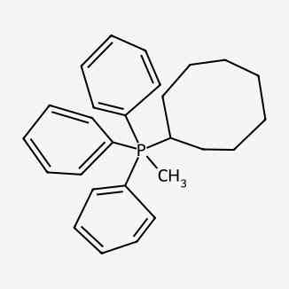 CP(c1ccccc1)(c1ccccc1)(c1ccccc1)C1CCCCCCC1